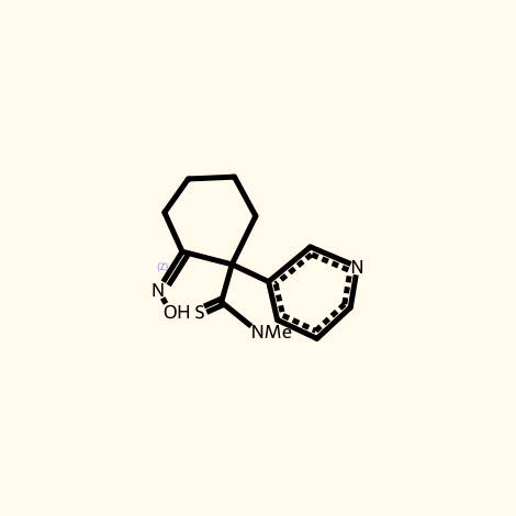 CNC(=S)C1(c2cccnc2)CCCC/C1=N/O